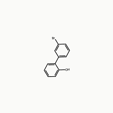 Oc1ccccc1-c1cccc(Br)c1